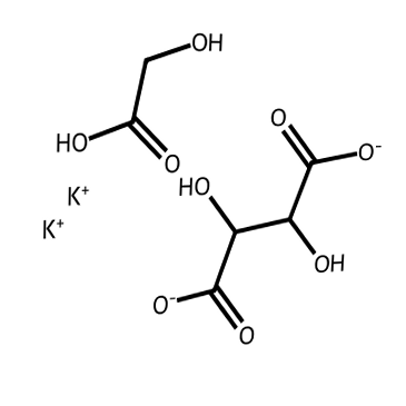 O=C(O)CO.O=C([O-])C(O)C(O)C(=O)[O-].[K+].[K+]